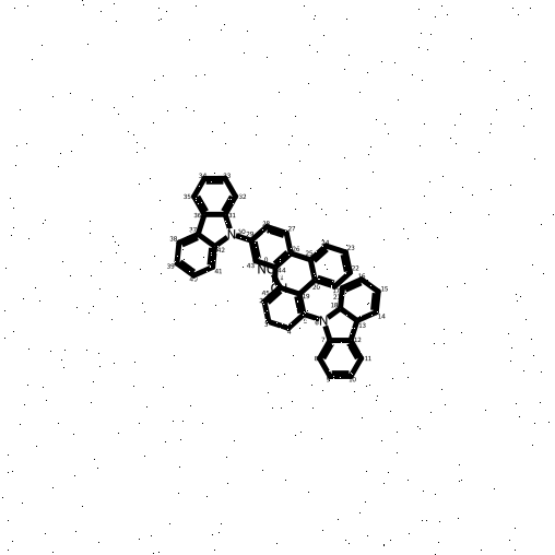 N#CC1=CCCC(N2c3ccccc3C3C=CC=CC32)=C1c1ccccc1-c1ccc(-n2c3ccccc3c3ccccc32)cc1C#N